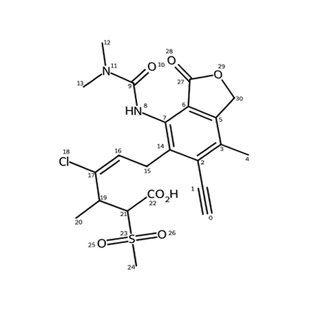 C#Cc1c(C)c2c(c(NC(=O)N(C)C)c1C/C=C(/Cl)C(C)C(C(=O)O)S(C)(=O)=O)C(=O)OC2